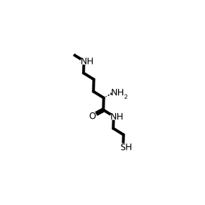 CNCCC[C@H](N)C(=O)NCCS